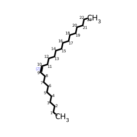 CCCCCCCCC/C=C\CCCCCCCCCCCCC